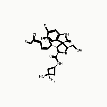 CC(/C=C\C=C(\Cl)CF)[C@H]1[C@H](C(=O)N[C@H]2C[C@@](C)(O)C2)N[C@H](CC(C)(C)C)[C@]12C(=O)Nc1cc(F)c(F)cc12